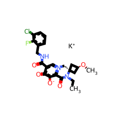 CCN1C(=O)c2c([O-])c(=O)c(C(=O)NCc3cccc(Cl)c3F)cn2C[C@]12C[C@@H](OC)C2.[K+]